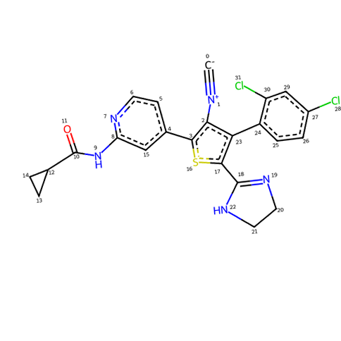 [C-]#[N+]c1c(-c2ccnc(NC(=O)C3CC3)c2)sc(C2=NCCN2)c1-c1ccc(Cl)cc1Cl